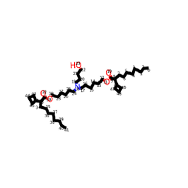 CCCCCCCCC(C(=O)OCCCCCCN(CCCCO)CCCCCCOC(=O)C(CCCCCCCC)C1CCC1)C1CCC1